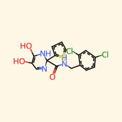 O=C(NCc1ccc(Cl)cc1Cl)C1(c2cccs2)N=CC(O)=C(O)N1